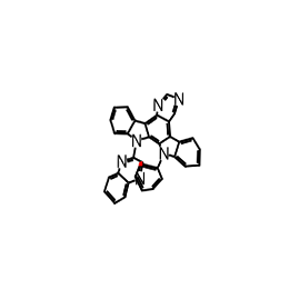 c1ccc(-n2c3ccccc3c3c4cncnc4c4c5ccccc5n(-c5cnc6ccccc6n5)c4c32)cc1